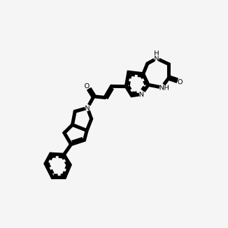 O=C1CNCc2cc(/C=C/C(=O)N3CC4C=C(c5ccccc5)CC4C3)cnc2N1